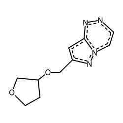 c1cn2nc(COC3CCOC3)cc2nn1